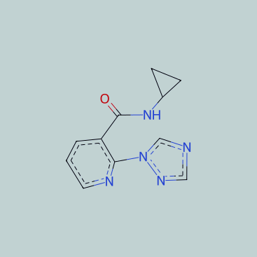 O=C(NC1CC1)c1cccnc1-n1cncn1